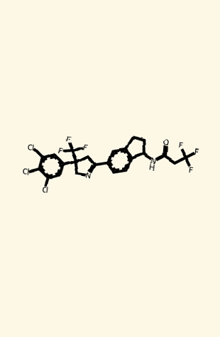 O=C(CC(F)(F)F)NC1CCc2cc(C3=NCC(c4cc(Cl)c(Cl)c(Cl)c4)(C(F)(F)F)C3)ccc21